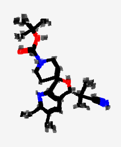 Cc1cc2c(nc1C)C1(CCN(C(=O)OC(C)(C)C)CC1)O[C@@H]2C(C)(C)C#N